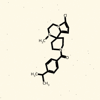 CC(C)c1ccc(C(=O)N2CCC3(CC2)c2ccc(Cl)n2CCN3C)cc1